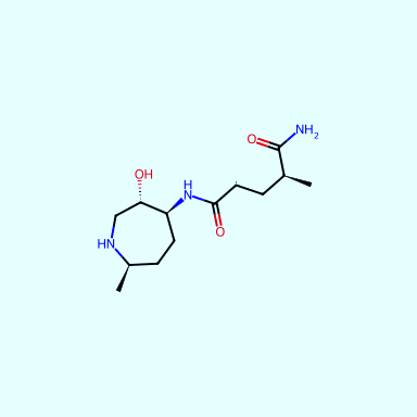 C[C@@H]1CC[C@H](NC(=O)[CH]C[C@H](C)C(N)=O)[C@@H](O)CN1